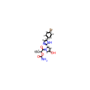 CC(C)(C)C(OC(N)=O)C(=O)N1C[C@H](O)C[C@H]1c1ncc(-c2ccc(Br)cc2)[nH]1